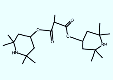 CC(C(=O)OC1CC(C)(C)NC(C)(C)C1)C(=O)OC1CC(C)(C)NC(C)(C)C1